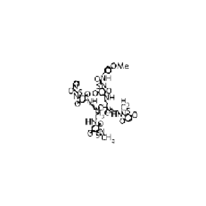 COc1ccc(CNC(=O)c2nc3c(s2)C(=O)C=C(NCCCN(C)CCCNN2C4=C(SC2C)C(=O)C=CC4=O)C3=O)cc1.Cc1nc2c(s1)C(=O)C=C(NCCCN(C)CCCNC1=CC(=O)c3nc(C(=O)N4CCCC4)sc3C1=O)C2=O